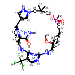 CNC(=O)c1nc2ccc1Nc1nc(ncc1C(F)(F)F)Nc1ccc(cc1OC)CP(C)(=O)OCC(C)(C)Cn1cc-2cn1